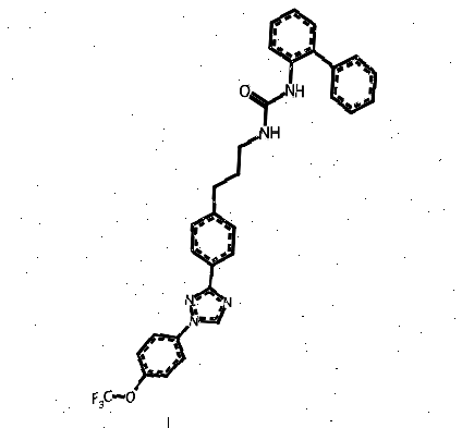 O=C(NCCCc1ccc(-c2ncn(-c3ccc(OC(F)(F)F)cc3)n2)cc1)Nc1ccccc1-c1ccccc1